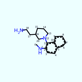 CNc1ccc2ccccc2c1N1CCCC(CCN)C1